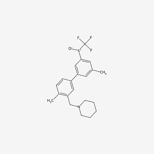 Cc1cc(-c2ccc(C)c(CN3CCCCC3)c2)cc([S+]([O-])C(F)(F)F)c1